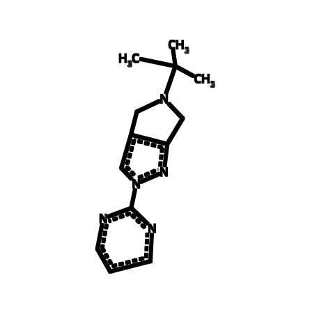 CC(C)(C)N1Cc2cn(-c3ncccn3)nc2C1